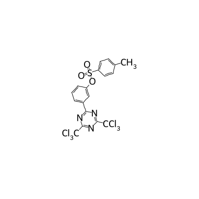 Cc1ccc(S(=O)(=O)Oc2cccc(-c3nc(C(Cl)(Cl)Cl)nc(C(Cl)(Cl)Cl)n3)c2)cc1